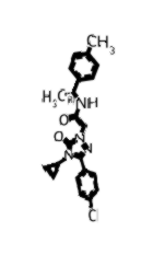 Cc1ccc([C@@H](C)NC(=O)Cn2nc(-c3ccc(Cl)cc3)n(C3CC3)c2=O)cc1